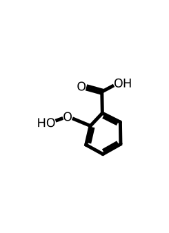 O=C(O)c1ccccc1OO